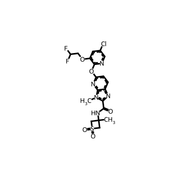 Cn1c(C(=O)NC2(C)CS(=O)(=O)C2)nc2ccc(Oc3ncc(Cl)cc3OCC(F)F)nc21